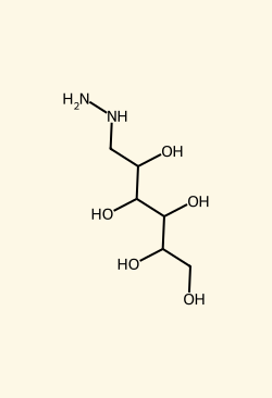 NNCC(O)C(O)C(O)C(O)CO